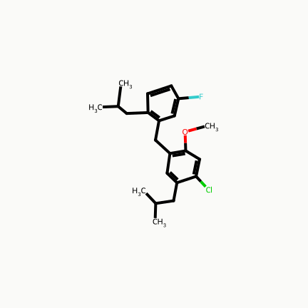 COc1cc(Cl)c(CC(C)C)cc1Cc1cc(F)ccc1CC(C)C